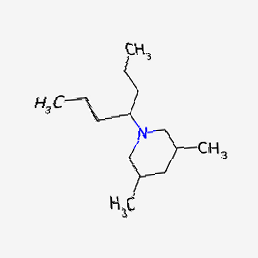 CCCC(CCC)N1CC(C)CC(C)C1